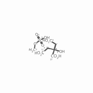 COS(=O)(=O)O.O=C(O)CC(O)(CC(=O)O)C(=O)O